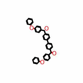 O=C(c1ccc(Oc2ccccc2)cc1)c1ccc(-c2ccc(C(=O)c3ccc(Oc4ccccc4)cc3)cc2)cc1